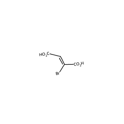 O=C(O)C=C(Br)C(=O)O